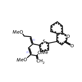 C=C(OC)/C(=C\C(=C/COC)c1ccc(-c2cc(=O)oc3ccccc23)s1)OC